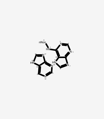 CCCCCCCCCNc1ncnc2nc[nH]c12.c1ncc2[nH]cnc2n1